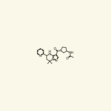 CC(=O)NC1CCN(C(=O)c2cnn3c2NC(c2ccccn2)CC3(C)C)C1